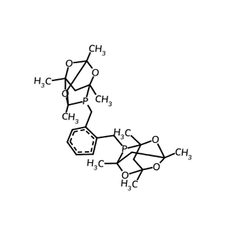 CC12CC3(C)OC(C)(CC(C)(O1)P3Cc1ccccc1CP1C3(C)CC4(C)OC(C)(CC1(C)O4)O3)O2